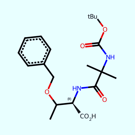 CC(OCc1ccccc1)[C@@H](NC(=O)C(C)(C)NC(=O)OC(C)(C)C)C(=O)O